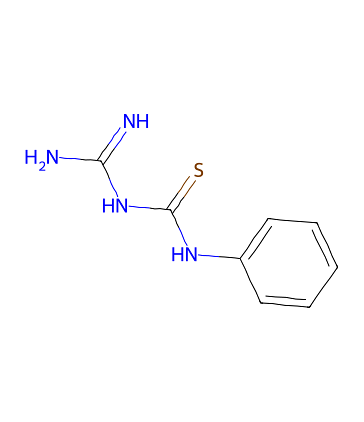 N=C(N)NC(=S)Nc1ccccc1